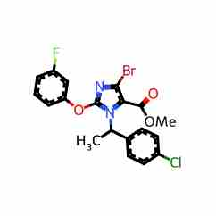 COC(=O)c1c(Br)nc(Oc2cccc(F)c2)n1C(C)c1ccc(Cl)cc1